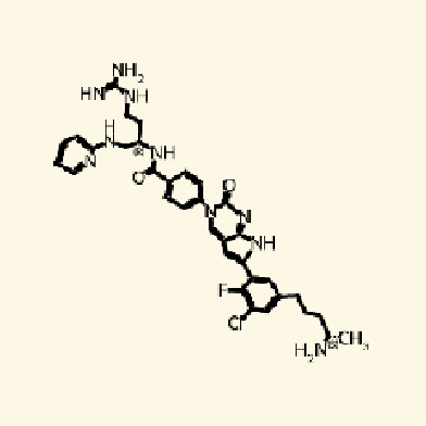 C[C@H](N)CCCc1cc(Cl)c(F)c(-c2cc3cn(-c4ccc(C(=O)N[C@H](CCNC(=N)N)CNc5ccccn5)cc4)c(=O)nc3[nH]2)c1